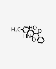 Cc1ccc2c(O)c(C(=O)c3ccccc3)c(=O)[nH]c2c1